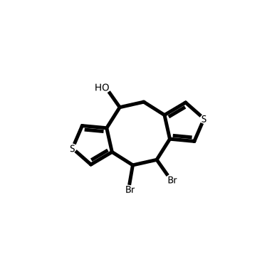 OC1Cc2cscc2C(Br)C(Br)c2cscc21